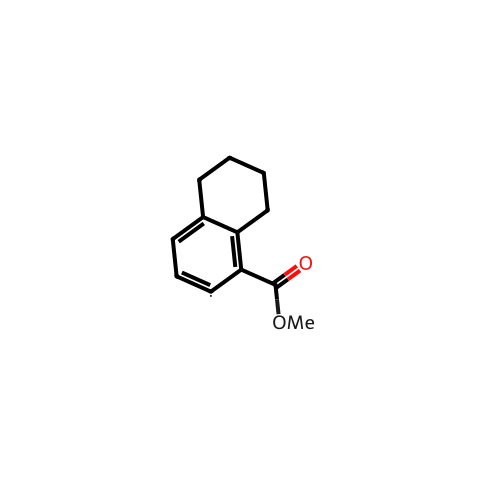 COC(=O)c1[c]ccc2c1CCCC2